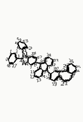 c1ccc(-c2nc3cc(-c4c5ccccc5c(-c5ccc6ccc7ccccc7c6c5)c5ccccc45)ccc3n2-c2ccccc2)cc1